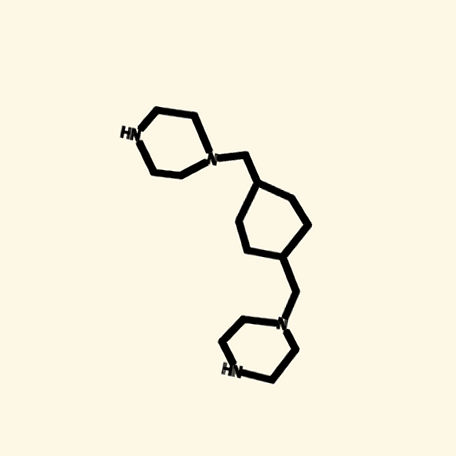 C1CN(CC2CCC(CN3CCNCC3)CC2)CCN1